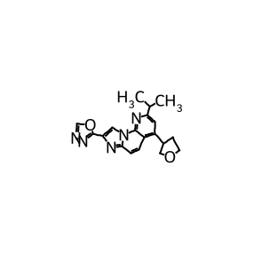 CC(C)c1cc(C2CCOC2)c2ccc3nc(-c4nnco4)cn3c2n1